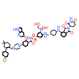 CC1(C)CCC(CN2CCN(c3ccc(C(=O)NS(=O)(=O)c4ccc(NC[C@H]5CC[C@@H](Nc6cccc7c6C(=O)N(C6CCC(=O)NC6=O)C7=O)CC5)c(N(O)CO)c4)c(Oc4cnc5[nH]ccc5c4)c3)CC2)=C(c2ccc(Cl)cc2)C1